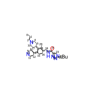 CC=CN1CCCC(c2cnccc2-c2ccc(CNC(=O)c3cn(C(C)(C)C)nn3)c(C)c2)C1